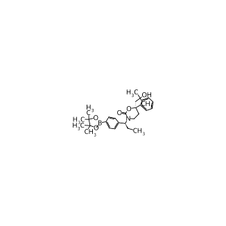 CC[C@@H](c1ccc(B2OC(C)(C)C(C)(C)O2)cc1)N1CC[C@](CC(C)(C)O)(c2ccccc2)OC1=O